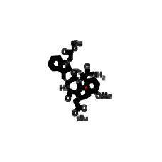 COc1ccc(C(C(N)=O)(C(C)C)N2C(=O)[C@@H](Cc3cn(CC(=O)OC(C)(C)C)c4ccccc34)NC(=O)c3c(CC(=O)OC(C)(C)C)cccc32)cc1